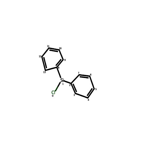 Cl[Si](c1ccccc1)c1ccccc1